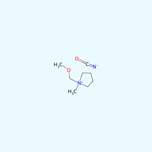 COC[N+]1(C)CCCC1.[N-]=C=O